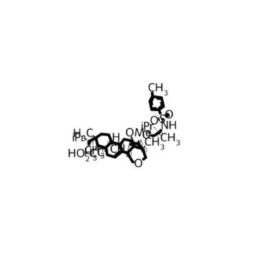 CO[C@@H]1C[C@@]23COC[C@@](C)([C@@H]2CC[C@H]2C3=CC[C@@]3(C)[C@H](C(=O)O)[C@@](C)([C@H](C)C(C)C)CC[C@]23C)[C@H]1OC[C@](C)(NS(=O)(=O)c1ccc(C)cc1)C(C)C